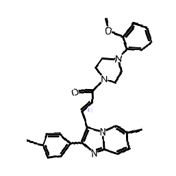 COc1ccccc1N1CCN(C(=O)/C=C/c2c(-c3ccc(C)cc3)nc3ccc(C)cn23)CC1